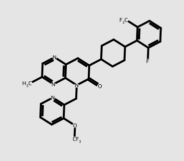 Cc1cnc2cc(C3CCC(c4c(F)cccc4C(F)(F)F)CC3)c(=O)n(Cc3ncccc3OC(F)(F)F)c2n1